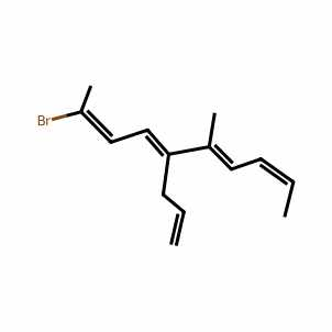 C=CCC(=C\C=C(/C)Br)/C(C)=C/C=C\C